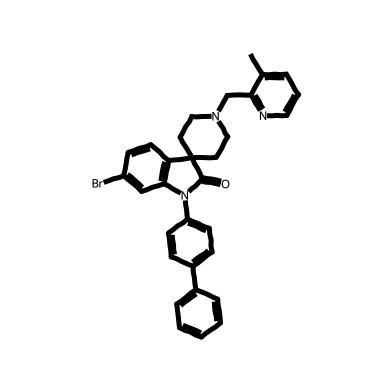 Cc1cccnc1CN1CCC2(CC1)C(=O)N(c1ccc(-c3ccccc3)cc1)c1cc(Br)ccc12